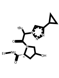 CCNC(=O)[C@H]1CC(O)CN1C(=O)C(n1cc(C2CC2)nn1)C(C)(C)C